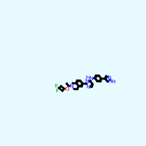 C=C(OC1CC(F)(F)C1)N1CCc2cc(-c3nccc(Nc4ccc(-c5cn[nH]c5)cc4)n3)ccc2C1